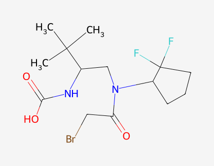 CC(C)(C)C(CN(C(=O)CBr)C1CCCC1(F)F)NC(=O)O